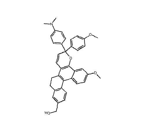 COc1ccc(C2(c3ccc(N(C)C)cc3)C=Cc3c4c(c5ccc(OC)cc5c3O2)-c2ccc(CO)cc2CC4)cc1